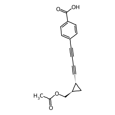 CC(=O)OC[C@@H]1C[C@H]1C#CC#Cc1ccc(C(=O)O)cc1